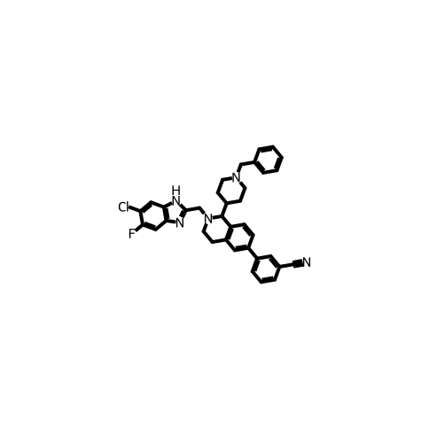 N#Cc1cccc(-c2ccc3c(c2)CCN(Cc2nc4cc(F)c(Cl)cc4[nH]2)C3C2CCN(Cc3ccccc3)CC2)c1